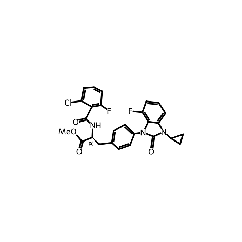 COC(=O)[C@H](Cc1ccc(-n2c(=O)n(C3CC3)c3cccc(F)c32)cc1)NC(=O)c1c(F)cccc1Cl